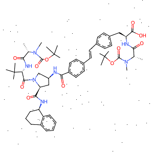 C[C@@H](C(=O)N[C@@H](Cc1ccc(/C=C/c2ccc(C(=O)N[C@H]3C[C@@H](C(=O)N[C@@H]4CCCc5ccccc54)N(C(=O)[C@@H](NC(=O)[C@H](C)N(C)C(=O)OC(C)(C)C)C(C)(C)C)C3)cc2)cc1)C(=O)O)N(C)C(=O)OC(C)(C)C